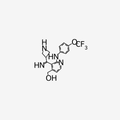 N=C(c1c(CO)ccnc1Nc1ccc(OC(F)(F)F)cc1)C1CNC1